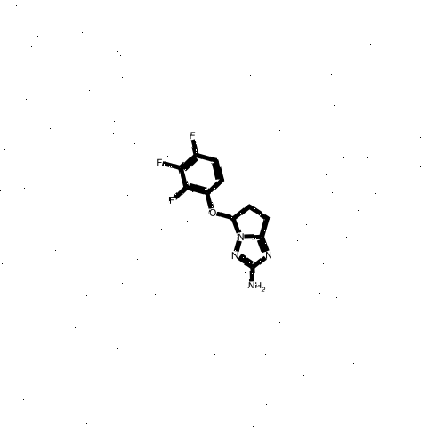 Nc1nc2n(n1)C(Oc1ccc(F)c(F)c1F)CC2